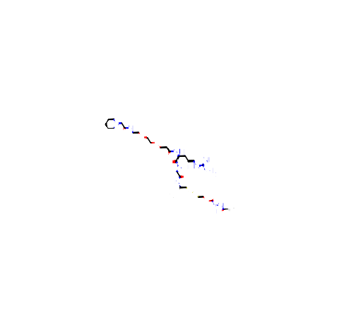 CC(C)C(=O)NNC(=O)OCCSSC[C@H](NC(=O)CNC(=O)C(CCCNC(=N)N)NC(=O)CCOCCOCCNC(=O)CN1CCCCC1)C(=O)O